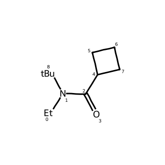 CCN(C(=O)C1CCC1)C(C)(C)C